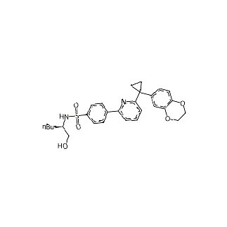 CCCC[C@H](CO)NS(=O)(=O)c1ccc(-c2cccc(C3(c4ccc5c(c4)OCCO5)CC3)n2)cc1